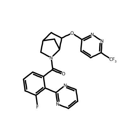 O=C(c1cccc(F)c1-c1ncccn1)N1CC2CC(Oc3ccc(C(F)(F)F)nn3)C1C2